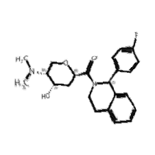 CN(C)[C@@H]1CO[C@@H](C(=O)N2CCc3ccccc3[C@@H]2c2ccc(F)cc2)C[C@@H]1O